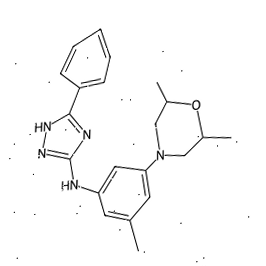 Cc1cc(Nc2n[nH]c(-c3ccccc3)n2)cc(N2CC(C)OC(C)C2)c1